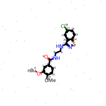 CCCCOc1cc(C(=O)NCCNc2nsc3ccc(Cl)cc23)ccc1OC